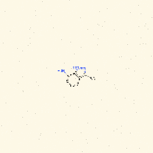 N#Cc1n[nH]c2c(N)cccc12